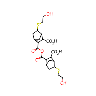 O=C(OC(=O)C1=C2CC(SCCO)C(C2)C1C(=O)O)C1=C2CC(SCCO)C(C2)C1C(=O)O